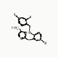 CCOC(=O)c1csc(Cc2cc(Cl)ccc2OCc2ccc(F)cc2F)n1